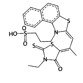 CCN1C(=O)C(=C(C)C=C2Sc3ccc4ccccc4c3N2CCCS(=O)(=O)O)SC1=S